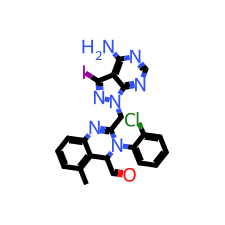 Cc1cccc2c1C(C=O)N(c1ccccc1Cl)C(Cn1nc(I)c3c(N)ncnc31)=N2